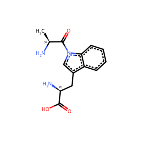 C[C@H](N)C(=O)n1cc(C[C@H](N)C(=O)O)c2ccccc21